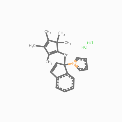 CC1=C(C)C(C)(C)[C]([Zr][C]2(p3cccc3)C=Cc3ccccc32)=C1C.Cl.Cl